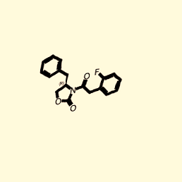 O=C(Cc1ccccc1F)N1C(=O)OC[C@H]1Cc1ccccc1